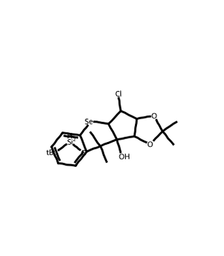 CC1(C)OC2C(Cl)C([Se]c3ccccc3)C(O)(C(C)(C)O[SiH2]C(C)(C)C)C2O1